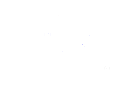 BC(C)Cn1ncc2c(=O)[nH]c(C3CCC(C)(C)C3)nc21